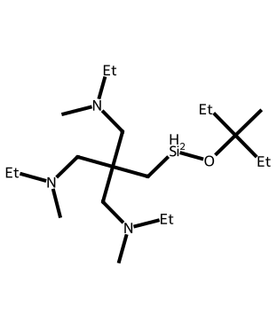 CCN(C)CC(C[SiH2]OC(C)(CC)CC)(CN(C)CC)CN(C)CC